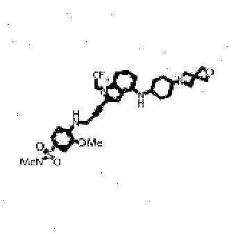 CNS(=O)(=O)c1ccc(NCC#Cc2cc3c(NC4CCC(N5CC6(COC6)C5)CC4)cccc3n2CC(F)(F)F)c(OC)c1